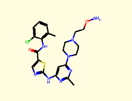 Cc1nc(Nc2ncc(C(=O)Nc3c(C)cccc3Cl)s2)cc(N2CCN(CCON)CC2)n1